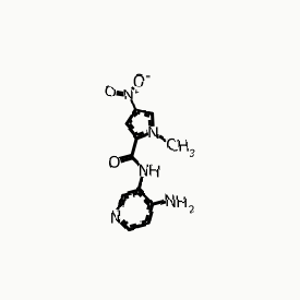 Cn1cc([N+](=O)[O-])cc1C(=O)Nc1cnccc1N